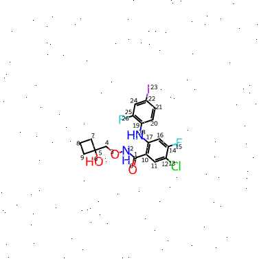 O=C(NOCC1(O)CCC1)c1cc(Cl)c(F)cc1Nc1ccc(I)cc1F